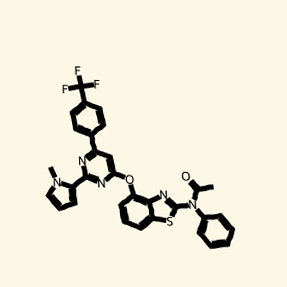 CC(=O)N(c1ccccc1)c1nc2c(Oc3cc(-c4ccc(C(F)(F)F)cc4)nc(-c4cccn4C)n3)cccc2s1